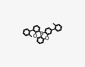 Cc1ccccc1-c1ccc2c(c1)Oc1cccc3c1B2c1cccc(-c2ccccc2C)c1O3